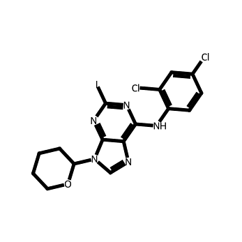 Clc1ccc(Nc2nc(I)nc3c2ncn3C2CCCCO2)c(Cl)c1